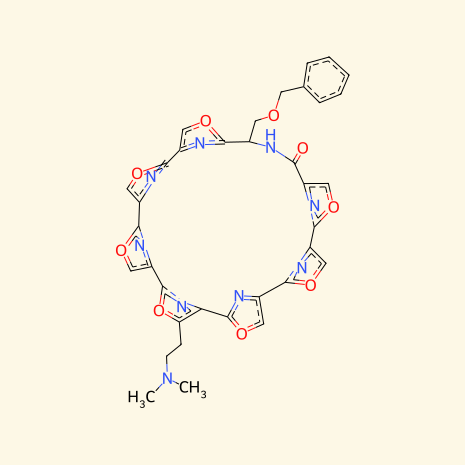 CN(C)CCc1oc2nc1-c1nc(co1)-c1nc(co1)-c1nc(co1)C(=O)NC(COCc1ccccc1)c1nc(co1)-c1nc(co1)-c1nc-2co1